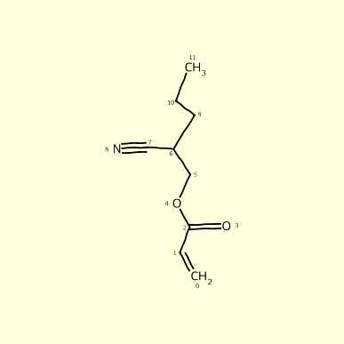 C=CC(=O)OCC(C#N)CCC